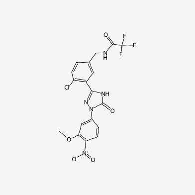 COc1cc(-n2nc(-c3cc(CNC(=O)C(F)(F)F)ccc3Cl)[nH]c2=O)ccc1[N+](=O)[O-]